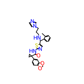 Cc1ccccc1C(NCCCn1ccnc1)c1cnc(NC(=O)C2(c3ccc4c(c3)OCO4)CC2)s1